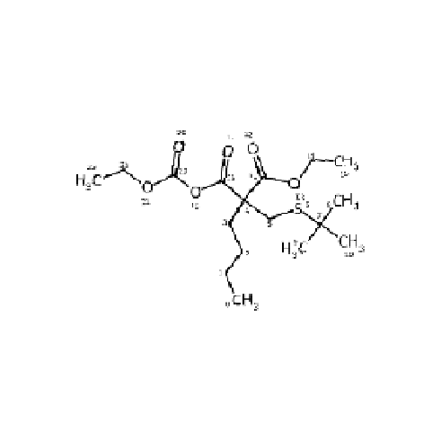 CCCCC(CSC(C)(C)C)(C(=O)OCC)C(=O)OC(=O)OCC